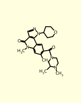 Cc1cc2c(cc1C(=O)N1CCN(C)C(C)C1)c1c(cnn1C1CCOCC1)c(=O)n2C